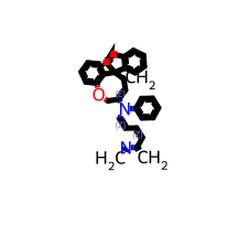 C=NC(=C)/C=C\C=C/N(/C1=C/C(=C)C2(c3ccccc3OC1)c1ccccc1-c1ccccc12)c1ccccc1